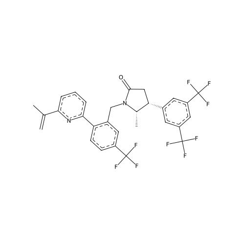 C=C(C)c1cccc(-c2ccc(C(F)(F)F)cc2CN2C(=O)C[C@H](c3cc(C(F)(F)F)cc(C(F)(F)F)c3)[C@@H]2C)n1